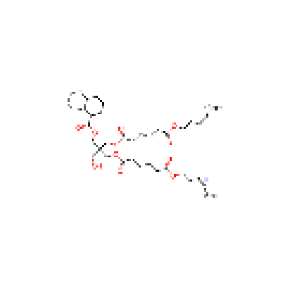 CCCCC/C=C\CCOC(=O)CCCCC(=O)OCC(CO)(COC(=O)CCCCC(=O)OCC/C=C\CCCCC)COC(=O)C1CCCC2CCCCC21